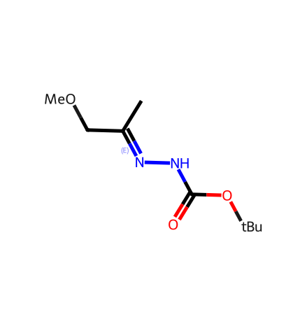 COC/C(C)=N/NC(=O)OC(C)(C)C